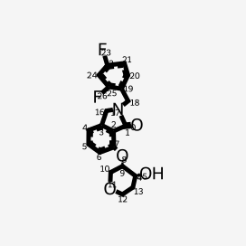 O=C1c2c(cccc2O[C@H]2COCC[C@@H]2O)CN1Cc1ccc(F)cc1F